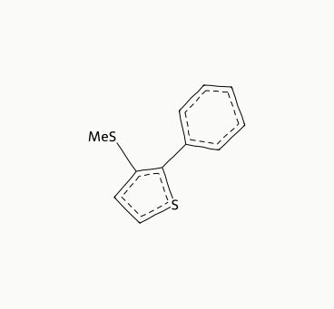 CSc1ccsc1-c1ccccc1